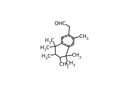 Cc1cc2c(cc1CC=O)C(C)(C)C(C)C(C)C2(C)C